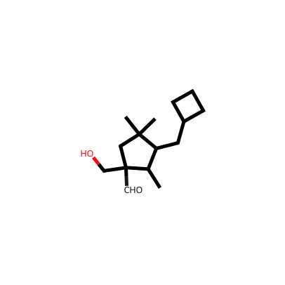 CC1C(CC2CCC2)C(C)(C)CC1(C=O)CO